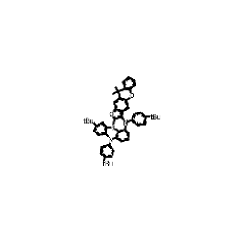 CC(C)(C)c1ccc(N2c3ccc(C(C)(C)C)cc3B3c4oc5cc6c(cc5c4N(c4ccc(C(C)(C)C)cc4)c4cccc2c43)Oc2ccccc2C6(C)C)cc1